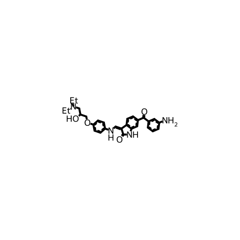 CCN(CC)CC(O)COc1ccc(NC=C2C(=O)Nc3cc(C(=O)c4cccc(N)c4)ccc32)cc1